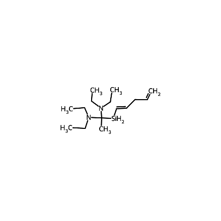 C=CCC=C[SiH2]C(C)(N(CC)CC)N(CC)CC